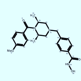 COc1ccc(C(=O)N2[C@H](C)CN(Cc3ccc(C(=O)NO)cc3)C[C@@H]2C)cc1